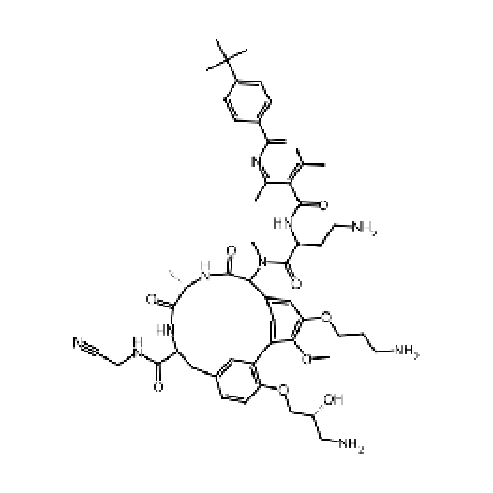 C=C(/N=C(/C)C(C(=O)N[C@@H](CCN)C(=O)N(C)C1C(=O)N[C@@H](C)C(=O)NC(C(=O)NCC#N)Cc2ccc(OC[C@H](O)CN)c(c2)-c2cc1cc(OCCCN)c2OC)=C(C)C)c1ccc(C(C)(C)C)cc1